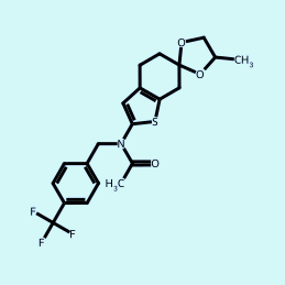 CC(=O)N(Cc1ccc(C(F)(F)F)cc1)c1cc2c(s1)CC1(CC2)OCC(C)O1